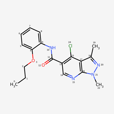 CCCOc1ccccc1NC(=O)c1cnc2c(c(C)nn2C)c1Cl